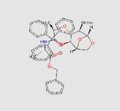 CC(=O)N[C@H]1[C@@H]2OC[C@@H](O2)[C@@H](OC(c2ccccc2)(c2ccccc2)c2ccccc2)[C@@H]1O[C@H](C)C(=O)N[C@@H](C)C(=O)OCc1ccccc1